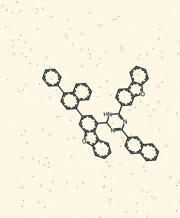 c1ccc(-c2ccc(-c3cc(C4N=C(c5ccc6ccccc6c5)N=C(c5ccc6c(c5)oc5ccccc56)N4)c4c(c3)oc3ccccc34)c3ccccc23)cc1